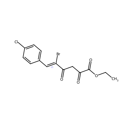 CCOC(=O)C(=O)CC(=O)/C(Br)=C/c1ccc(Cl)cc1